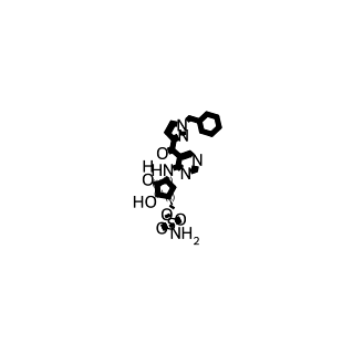 NS(=O)(=O)OC[C@H]1C[C@@H](Nc2ncncc2C(=O)c2ccn(CC3CCCCC3)n2)[C@H](O)[C@@H]1O